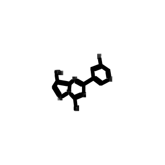 CC(C)(C)c1cnn2c(Cl)nc(-c3cncc(F)c3)nc12